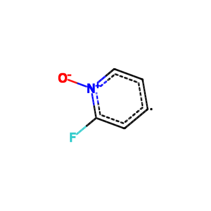 [O-][n+]1cc[c]cc1F